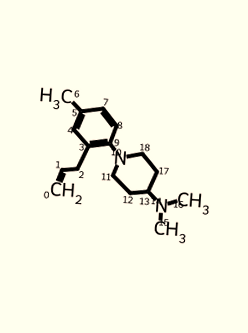 C=CCc1cc(C)ccc1N1CCC(N(C)C)CC1